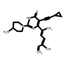 C=C/C(C#N)=C\C=C(/C)c1nc(N2CCC(N)CC2)[nH]c(=O)c1C#CC1CC1